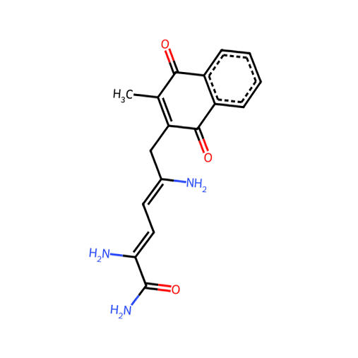 CC1=C(C/C(N)=C/C=C(\N)C(N)=O)C(=O)c2ccccc2C1=O